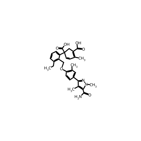 CCc1cccc(C2(C(=O)O)C=CC(C)=C(C(=O)O)C2)c1COc1ccc(-c2nn(C)c(C(N)=O)c2C)cc1C